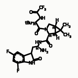 CC(C)(C)[C@H](NC(=O)C(F)(F)F)C(=O)N1C[C@H]2[C@@H]([C@H]1C(=O)N[C@H](N)CC1C(=O)Nc3c(F)cc(F)cc31)C2(C)C